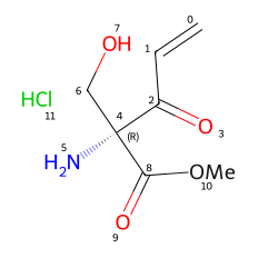 C=CC(=O)[C@](N)(CO)C(=O)OC.Cl